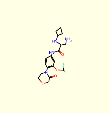 NC[C@H](NC1CCC1)C(=O)Nc1ccc(N2CCOCC2=O)c(OC(F)F)c1